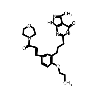 CCCOc1ccc(C=CC(=O)N2CCOCC2)cc1CCCc1nc2[nH]nc(C)c2c(=O)[nH]1